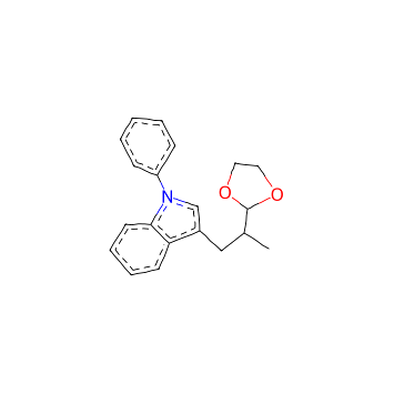 CC(Cc1cn(-c2ccccc2)c2ccccc12)C1OCCO1